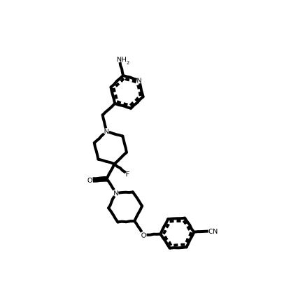 N#Cc1ccc(OC2CCN(C(=O)C3(F)CCN(Cc4ccnc(N)c4)CC3)CC2)cc1